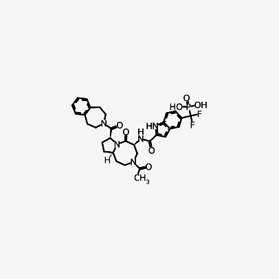 CC(=O)N1CC[C@H]2CC[C@@H](C(=O)N3CCc4ccccc4CC3)N2C(=O)[C@@H](NC(=O)c2cc3cc(C(F)(F)P(=O)(O)O)ccc3[nH]2)C1